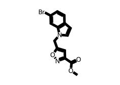 COC(=O)c1cc(Cn2ccc3ccc(Br)cc32)on1